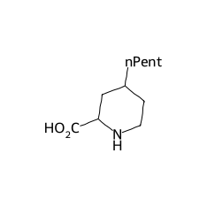 CCCCCC1CCNC(C(=O)O)C1